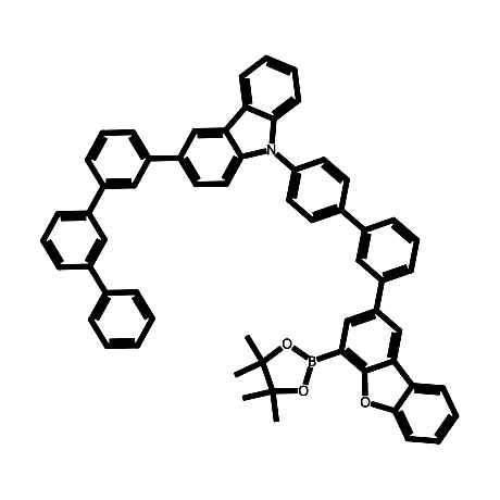 CC1(C)OB(c2cc(-c3cccc(-c4ccc(-n5c6ccccc6c6cc(-c7cccc(-c8cccc(-c9ccccc9)c8)c7)ccc65)cc4)c3)cc3c2oc2ccccc23)OC1(C)C